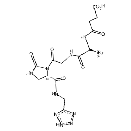 CC[C@H](C)C(NC(=O)CCC(=O)O)C(=O)NCC(=O)N1C(=O)NC[C@H]1C(=O)NCc1nn[nH]n1